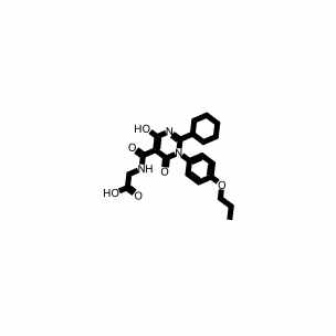 CCCOc1ccc(-n2c(C3CCCCC3)nc(O)c(C(=O)NCC(=O)O)c2=O)cc1